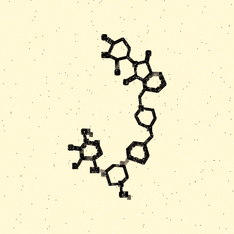 CN1C[C@H](Nc2cnn(C)c(=O)c2Br)C[C@H](c2ccc(CN3CCN(Cc4cccc5c4C(=O)N(C4CCC(=O)NC4=O)C5=O)CC3)cc2)C1